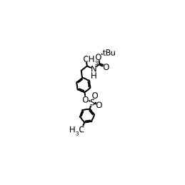 Cc1ccc(S(=O)(=O)Oc2ccc(CC(C)NC(=O)OC(C)(C)C)cc2)cc1